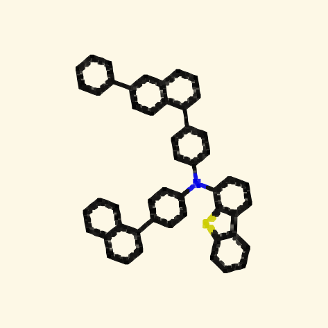 c1ccc(-c2ccc3c(-c4ccc(N(c5ccc(-c6cccc7ccccc67)cc5)c5cccc6c5sc5ccccc56)cc4)cccc3c2)cc1